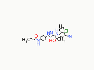 CCCC(=O)Nc1ccc(C2=NN=C([C@H](Nc3ccc(C#N)c(Cl)c3C)[C@@H](C)O)C2)cc1